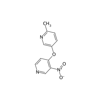 Cc1ccc(Oc2ccncc2[N+](=O)[O-])cn1